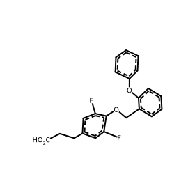 O=C(O)CCc1cc(F)c(OCc2ccccc2Oc2ccccc2)c(F)c1